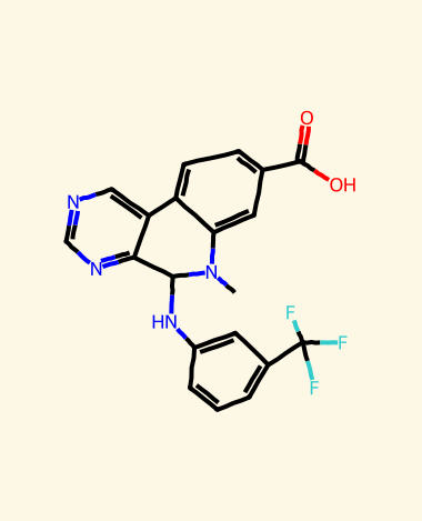 CN1c2cc(C(=O)O)ccc2-c2cncnc2C1Nc1cccc(C(F)(F)F)c1